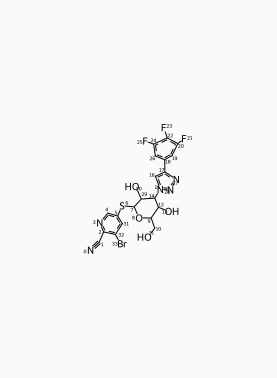 N#Cc1ncc(SC2OC(CO)C(O)C(n3cc(-c4cc(F)c(F)c(F)c4)nn3)C2O)cc1Br